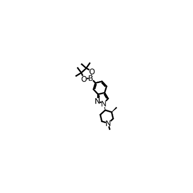 C[C@H]1CN(C)CC[C@@H]1n1cc2ccc(B3OC(C)(C)C(C)(C)O3)cc2n1